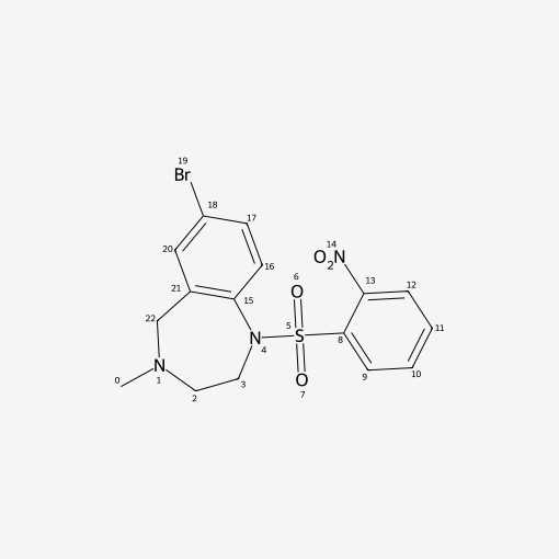 CN1CCN(S(=O)(=O)c2ccccc2[N+](=O)[O-])c2ccc(Br)cc2C1